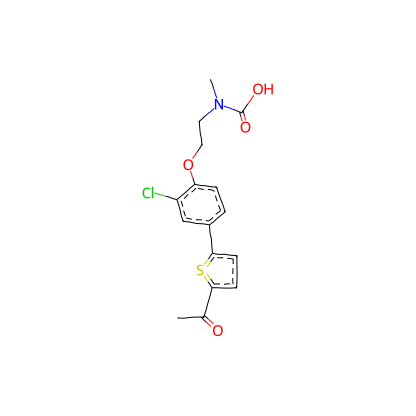 CC(=O)c1ccc(-c2ccc(OCCN(C)C(=O)O)c(Cl)c2)s1